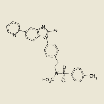 CCc1nc2cc(-c3ccccn3)ccc2n1-c1ccc(CCN(C(=O)O)S(=O)(=O)c2ccc(C)cc2)cc1